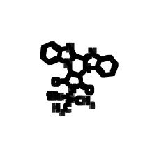 CC(C)(C)[Si](C)(C)n1c(=O)c2c(c1=O)n1c3ccccc3nc1c1nc3ccccc3n12